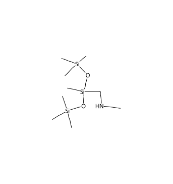 CNC[Si](C)(O[Si](C)(C)C)O[Si](C)(C)C